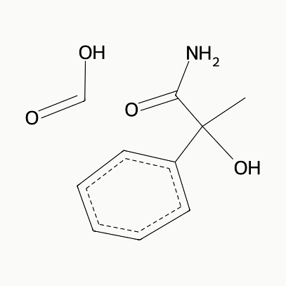 CC(O)(C(N)=O)c1ccccc1.O=CO